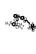 CC(C)[C@@H]1CC[C@@H](C)C[C@H]1OC(=O)Cn1c(-c2ccc(OC(=O)CCCC[C@@H]3SC[C@@H]4NC(=O)N[C@@H]43)cc2)nc2ccccc21